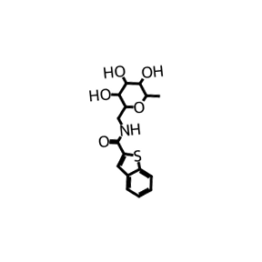 CC1OC(CNC(=O)c2cc3ccccc3s2)C(O)C(O)C1O